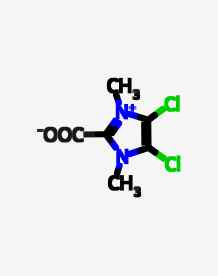 Cn1c(Cl)c(Cl)[n+](C)c1C(=O)[O-]